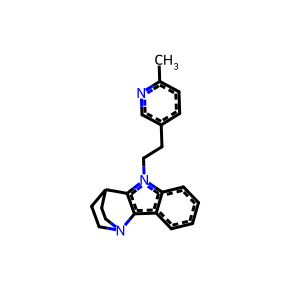 Cc1ccc(CCn2c3c(c4ccccc42)N2CCC3CC2)cn1